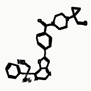 N[C@@](CO)(c1ccccc1)c1ncnc2cc(-c3ccc(C(=O)N4CCN(C5(C=O)CC5)CC4)cc3)oc12